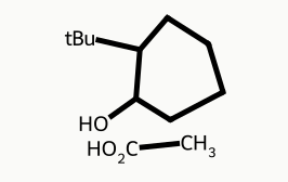 CC(=O)O.CC(C)(C)C1CCCCC1O